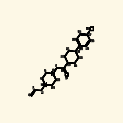 C=CCN1CCN(CC(=O)C2CCC(c3ccc(Cl)cc3)CC2)CC1